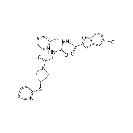 O=C(N[C@@H](Cc1ccccn1)C(=O)NCC(=O)N1CCC(Sc2ccccn2)CC1)c1cc2cc(Cl)ccc2o1